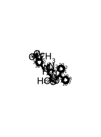 Cc1cc(CN2C=NC3=CN(C(=O)C(c4ccccc4)c4ccccc4)C(C(=O)O)=C[C@@H]32)ccc1[N+](=O)[O-]